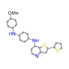 COc1ccc(Nc2ccc(Nc3ccnc4cc(-c5cccs5)sc34)cc2)cc1